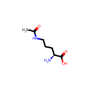 BC(=O)NCCC[C@H](N)C(=O)O